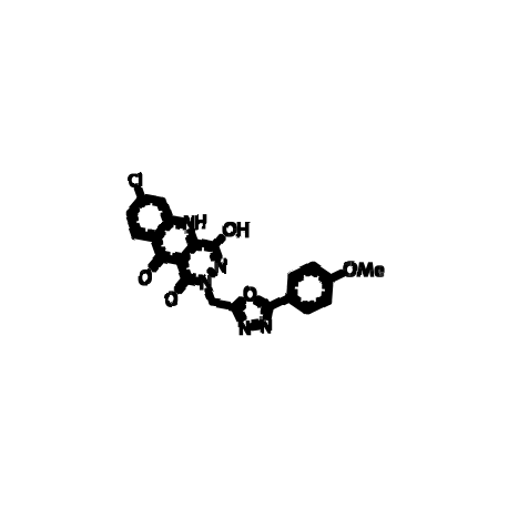 COc1ccc(-c2nnc(Cn3nc(O)c4[nH]c5cc(Cl)ccc5c(=O)c4c3=O)o2)cc1